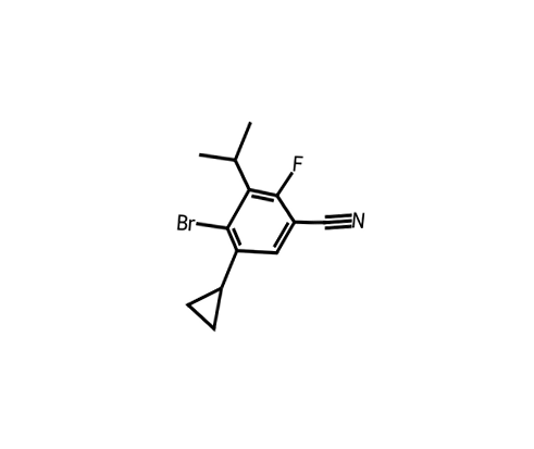 CC(C)c1c(F)c(C#N)cc(C2CC2)c1Br